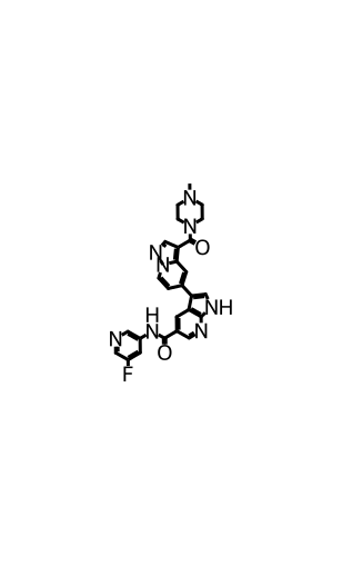 CN1CCN(C(=O)c2cnn3ccc(-c4c[nH]c5ncc(C(=O)Nc6cncc(F)c6)cc45)cc23)CC1